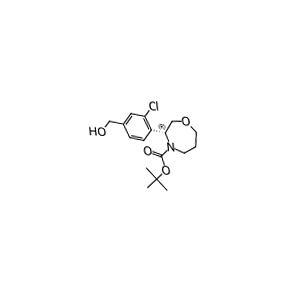 CC(C)(C)OC(=O)N1CCCOC[C@H]1c1ccc(CO)cc1Cl